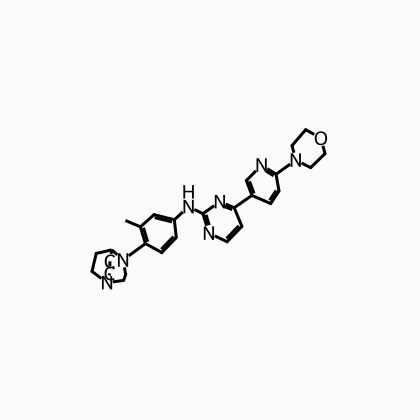 Cc1cc(Nc2nccc(-c3ccc(N4CCOCC4)nc3)n2)ccc1N1CCN2CCC1CC2